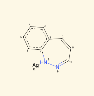 C1=Cc2ccccc2NN=C1.[Ag]